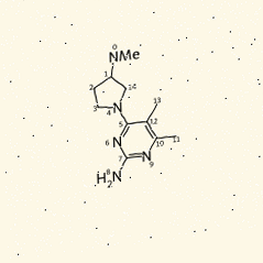 CNC1CCN(c2nc(N)nc(C)c2C)C1